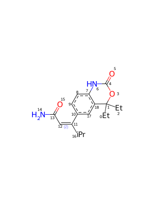 CCC1(CC)OC(=O)Nc2ccc(/C(=C\C(N)=O)C(C)C)cc21